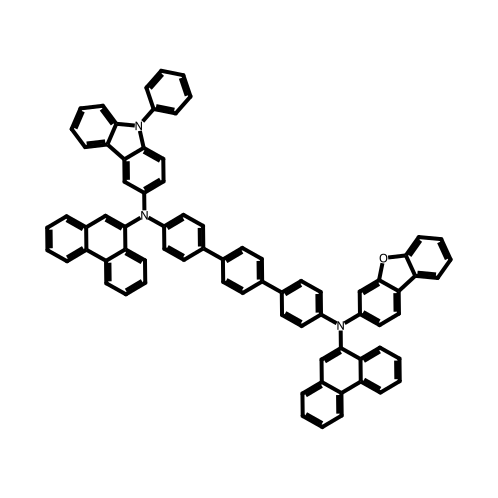 c1ccc(-n2c3ccccc3c3cc(N(c4ccc(-c5ccc(-c6ccc(N(c7ccc8c(c7)oc7ccccc78)c7cc8ccccc8c8ccccc78)cc6)cc5)cc4)c4cc5ccccc5c5ccccc45)ccc32)cc1